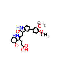 COc1ccc(-c2ccc3c(c2)/C(=C/c2[nH]c4c(c2CCC(=O)O)C(=O)CCC4)C(=O)N3)cc1OC